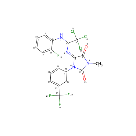 CN1C(=O)C(=NC(Nc2ccccc2F)C(Cl)(Cl)Cl)N(c2cccc(C(F)(F)F)c2)C1=O